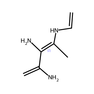 C=CN/C(C)=C(\N)C(=C)N